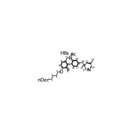 Br.CCCCCCCCCCCCCCOc1ccc(CN(C(C)=O)c2cccc(CC3(C)C=C(C)C=NC3)c2)cc1F